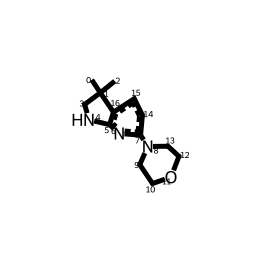 CC1(C)CNc2nc(N3CCOCC3)ccc21